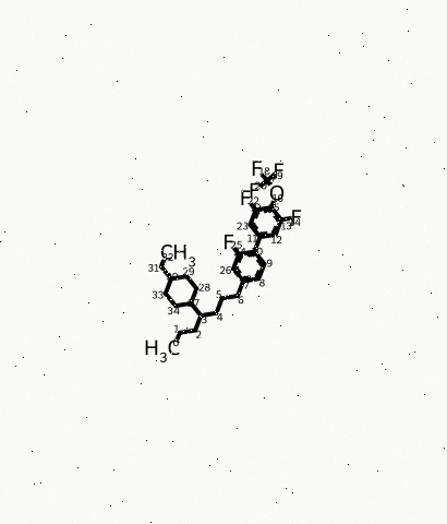 CCCC(CCCc1ccc(-c2cc(F)c(OC(F)(F)F)c(F)c2)c(F)c1)C1CCC(CC)CC1